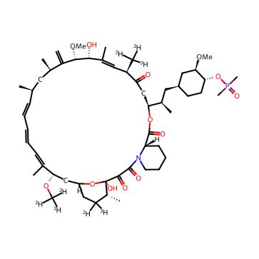 [2H]C([2H])([2H])O[C@H]1C[C@@H]2CC([2H])([2H])[C@@H](C)[C@@](O)(O2)C(=O)C(=O)N2CCCC[C@H]2C(=O)O[C@H]([C@H](C)C[C@@H]2CC[C@@H](OP(C)(C)=O)[C@H](OC)C2)CC(=O)[C@H](C([2H])([2H])[2H])/C=C(\C)[C@@H](O)[C@@H](OC)C(=C)[C@H](C)C[C@H](C)/C=C/C=C/C=C/1C